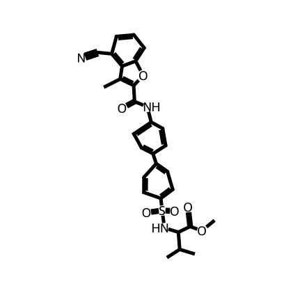 COC(=O)C(NS(=O)(=O)c1ccc(-c2ccc(NC(=O)c3oc4cccc(C#N)c4c3C)cc2)cc1)C(C)C